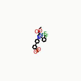 CCOC(=O)c1cn(-c2ccc(-c3cccc(S(C)(=O)=O)c3)cc2)c(-c2ccccc2C(F)(F)F)n1